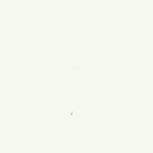 C=CC(=O)OC(CCC)CCCCC(C)C.O=C(O)C1CCCC(C(=O)O)C1